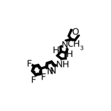 CC1(CN2C[C@H]3C[C@H](Nc4ccc(-c5cc(F)cc(F)c5F)nn4)C[C@H]3C2)CCOCC1